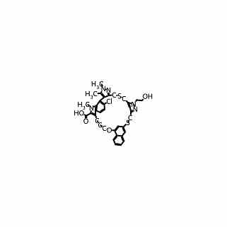 Cc1c2c(nn1C)CSCc1cc(nn1CCO)CSc1cc(c3ccccc3c1)OCCCc1c(C(=O)O)n(C)c3c-2c(Cl)ccc13